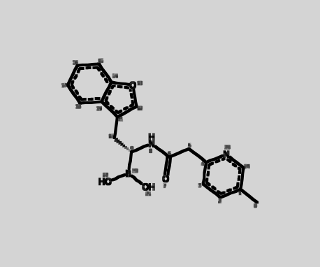 Cc1ccc(CC(=O)N[C@@H](Cc2coc3ccccc23)B(O)O)nc1